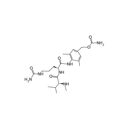 CN[C@H](C(=O)N[C@@H](CCCNC(N)=O)C(=O)Nc1c(C)cc(COC(N)=O)cc1C)C(C)C